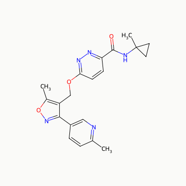 Cc1ccc(-c2noc(C)c2COc2ccc(C(=O)NC3(C)CC3)nn2)cn1